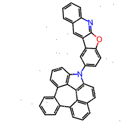 c1ccc2c(c1)-c1cccc3ccc4c(c13)c1c-2cccc1n4-c1ccc2oc3nc4ccccc4cc3c2c1